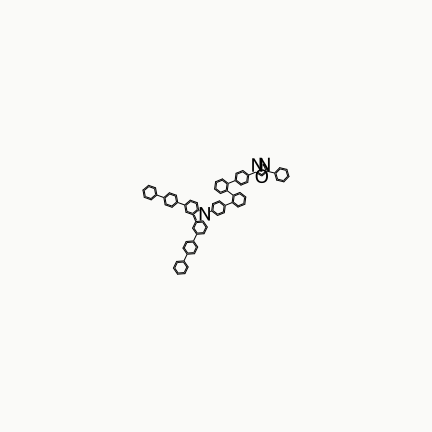 c1ccc(-c2ccc(-c3ccc4c(c3)c3cc(-c5ccc(-c6ccccc6)cc5)ccc3n4-c3ccc(-c4ccccc4-c4ccccc4-c4ccc(-c5nnc(-c6ccccc6)o5)cc4)cc3)cc2)cc1